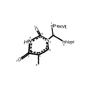 CCCCCCCC(CCCCC)n1cc(C)c(=O)[nH]c1=O